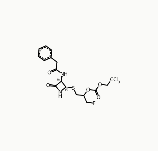 O=C(Cc1ccccc1)N[C@@H]1C(=O)N[C@@H]1SCC(CF)OC(=O)OCC(Cl)(Cl)Cl